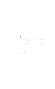 CC1(C)CCCC=C1c1cc(Oc2ccccc2)nc(NS(=O)(=O)c2ccccc2)n1